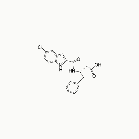 O=C(O)C[C@H](Cc1ccccc1)NC(=O)c1cc2cc(Cl)ccc2[nH]1